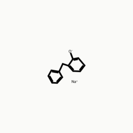 [Na+].[O-]c1ccccc1Cc1ccccc1